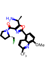 COc1ccc(-c2nc(C(=O)N3CCC[C@H]3CF)c([C@H](C)N)o2)c2ccc(C(F)(F)F)nc12